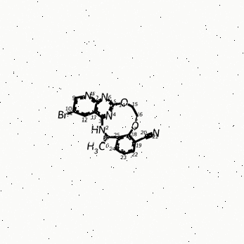 C[C@H]1Nc2nc(nc3ncc(Br)cc23)OCCOc2c(C#N)cccc21